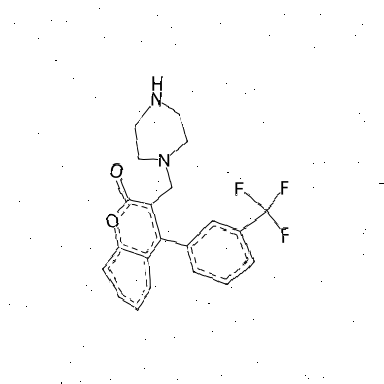 O=c1oc2ccccc2c(-c2cccc(C(F)(F)F)c2)c1CN1CCNCC1